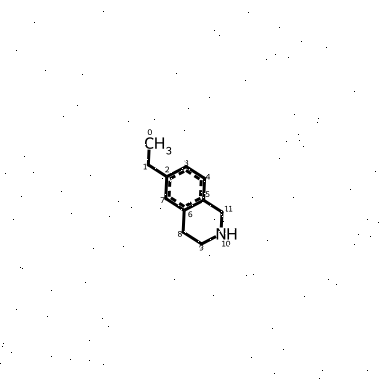 CCc1ccc2c(c1)CCNC2